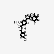 Cc1cc(C2=NOC(C)(c3cc(F)c(F)c(F)c3)C2)ccc1C(=O)NCc1ccc(Cl)nc1